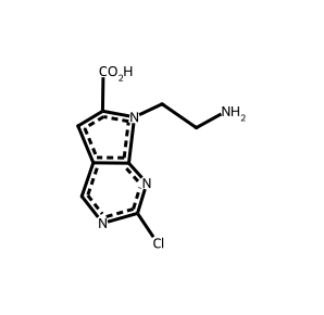 NCCn1c(C(=O)O)cc2cnc(Cl)nc21